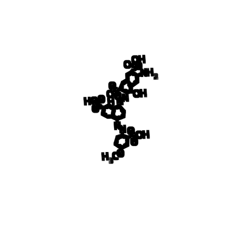 COc1ccc(N=Nc2ccc(N=Nc3c(S(=O)(=O)O)cc4cc(S(=O)(=O)O)c(N)cc4c3O)c3cc(S(=O)(=O)O)ccc23)c(S(=O)(=O)O)c1